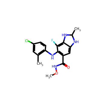 CONC(=O)c1cc2c(c(F)c1Nc1ccc(Cl)cc1C)NC(C)N2